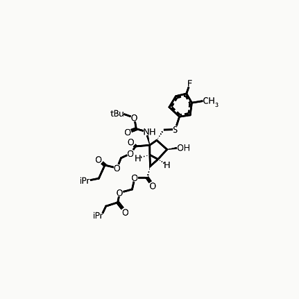 Cc1cc(SC[C@@H]2[C@@H](O)[C@H]3[C@H](C(=O)OCOC(=O)CC(C)C)[C@H]3[C@]2(NC(=O)OC(C)(C)C)C(=O)OCOC(=O)CC(C)C)ccc1F